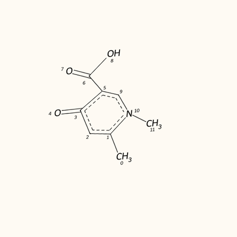 Cc1cc(=O)c(C(=O)O)cn1C